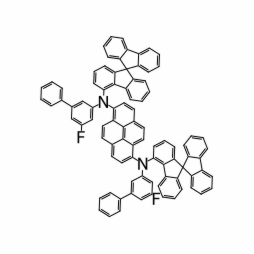 Fc1cc(-c2ccccc2)cc(N(c2cccc3c2-c2ccccc2C32c3ccccc3-c3ccccc32)c2ccc3ccc4c(N(c5cc(F)cc(-c6ccccc6)c5)c5cccc6c5-c5ccccc5C65c6ccccc6-c6ccccc65)ccc5ccc2c3c54)c1